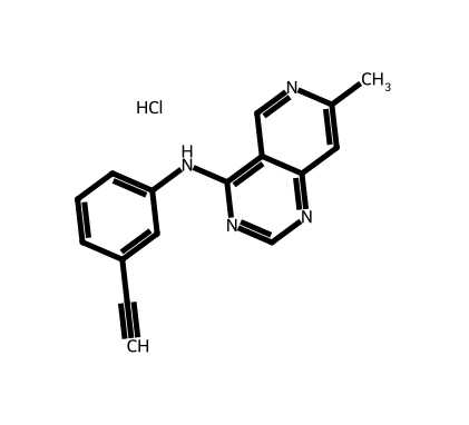 C#Cc1cccc(Nc2ncnc3cc(C)ncc23)c1.Cl